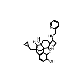 Oc1ccc2c3c1O[C@H]1[C@@]4(CC[C@@H]4NCc4ccccn4)CC[C@@]4(O)[C@@H](C2)N(CC2CC2)CC[C@]314